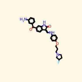 Nc1cccc(C(=O)c2ccc3c(c2)NC(=O)C3=CNc2ccc(OCCCN3CCC(F)C3)cc2)c1